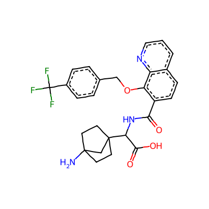 NC12CCC(C(NC(=O)c3ccc4cccnc4c3OCc3ccc(C(F)(F)F)cc3)C(=O)O)(CC1)C2